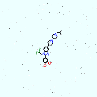 COc1ccc(-c2nc3cc(C4CCN(C5CCN(CC(C)C)CC5)CC4)ccc3n2CC(F)F)cc1OC